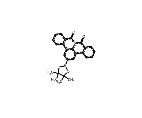 CC1(C)OB(c2cc3c4ccccc4c(=O)n4c(=O)c5ccccc5c(c2)c34)OC1(C)C